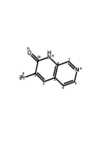 CC(C)c1cc2ccncc2[nH]c1=O